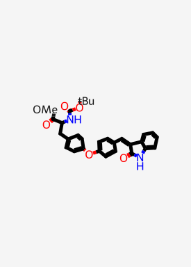 COC(=O)C(Cc1ccc(Oc2ccc(/C=C3\C(=O)Nc4ccccc43)cc2)cc1)NC(=O)OC(C)(C)C